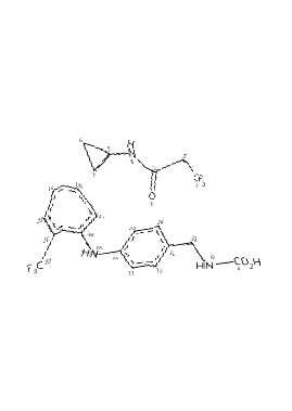 O=C(CC(F)(F)F)NC1CC1.O=C(O)NCc1ccc(Nc2ccccc2C(F)(F)F)cc1